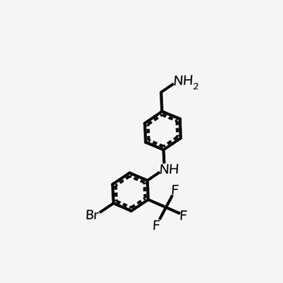 NCc1ccc(Nc2ccc(Br)cc2C(F)(F)F)cc1